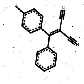 Cc1ccc(C(=C(C#N)C#N)c2ccccc2)cc1